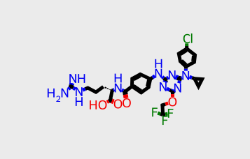 N=C(N)NCCC[C@H](NC(=O)c1ccc(Nc2nc(OCC(F)(F)F)nc(N(c3ccc(Cl)cc3)C3CC3)n2)cc1)C(=O)O